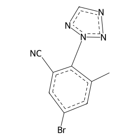 Cc1cc(Br)cc(C#N)c1-n1ncnn1